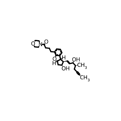 CC#CC[C@@H](C)[C@H](O)/C=C/[C@@H]1[C@H]2c3cccc(CCCC(=O)N4CCOCC4)c3O[C@H]2C[C@H]1O